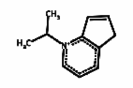 CC(C)[n+]1cccc2c1C=CC2